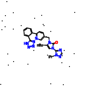 CCCCc1cn(-c2ncnn2C(C)C)c(=O)n1Cc1ccc(-c2ccccc2-c2nnn[nH]2)nc1